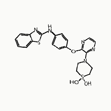 OS1(O)CCN(c2nccnc2Oc2ccc(Nc3nc4ccccc4s3)cc2)CC1